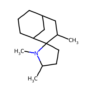 CC1CCC2(C(C)CC3CCCC2C3)N1C